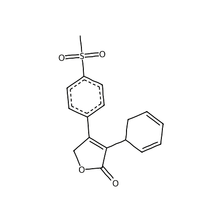 CS(=O)(=O)c1ccc(C2=C(C3C=CC=CC3)C(=O)OC2)cc1